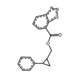 O=C(OCC1CC1c1ccccc1)c1cccc2nnsc12